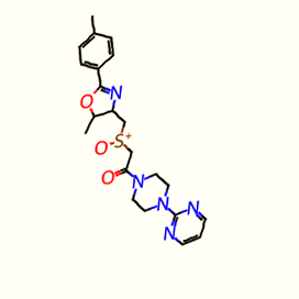 Cc1ccc(C2=NC(C[S+]([O-])CC(=O)N3CCN(c4ncccn4)CC3)C(C)O2)cc1